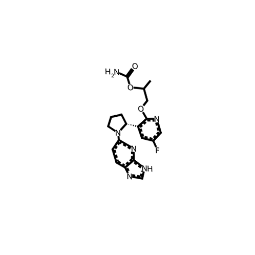 CC(COc1ncc(F)cc1[C@H]1CCCN1c1ccc2nc[nH]c2n1)OC(N)=O